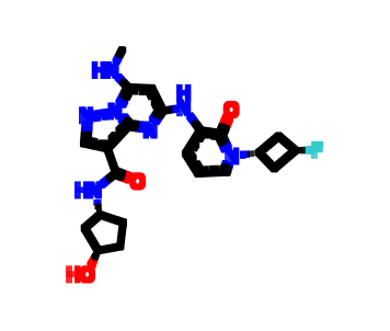 CNc1cc(Nc2cccn([C@H]3C[C@H](F)C3)c2=O)nc2c(C(=O)N[C@@H]3CC[C@@H](O)C3)cnn12